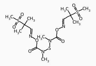 CN(SN(C)C(=O)ON=CC(C)(C)S(C)(=O)=O)C(=O)ON=CC(C)(C)S(C)(=O)=O